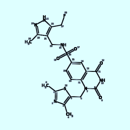 Cc1nc(C)c(Cn2c(=O)[nH]c(=O)c3cc(S(=O)(=O)NCc4c(C)n[nH]c4CF)ccc32)s1